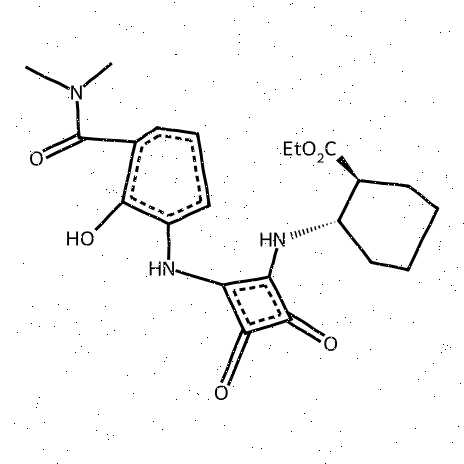 CCOC(=O)[C@H]1CCCC[C@@H]1Nc1c(Nc2cccc(C(=O)N(C)C)c2O)c(=O)c1=O